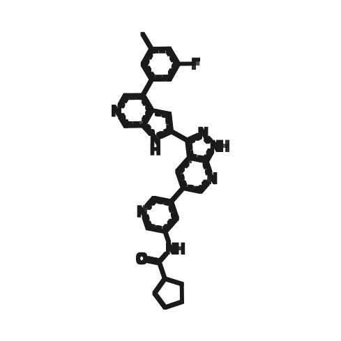 Cc1cc(F)cc(-c2cncc3[nH]c(-c4n[nH]c5ncc(-c6cncc(NC(=O)C7CCCC7)c6)cc45)cc23)c1